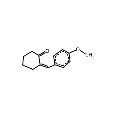 COc1ccc(/C=C2/CCCCC2=O)cc1